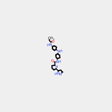 C=CC(=O)Nc1ccc(Nc2ccc(NC(=O)c3cccc(-c4ccn[nH]4)n3)cc2)cc1